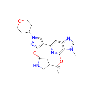 C[C@@H](Oc1nc(-c2cnn(C3CCOCC3)c2)cc2ncn(C)c12)C1CNC(=O)C1